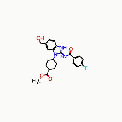 COC(=O)[C@H]1CC[C@@H](n2/c(=N/C(=O)c3ccc(F)cc3)[nH]c3ccc(CO)cc32)CC1